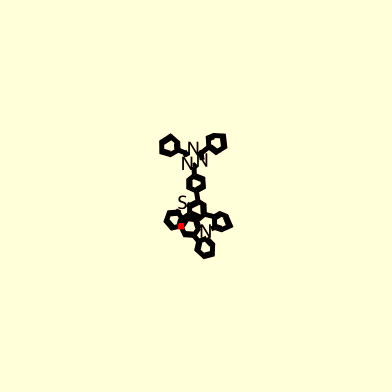 c1ccc(-c2nc(-c3ccccc3)nc(-c3ccc(-c4cc(-c5ccccc5-n5c6ccccc6c6ccccc65)cc5c4sc4ccccc45)cc3)n2)cc1